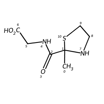 CC1(C(=O)NCC(=O)O)NCCS1